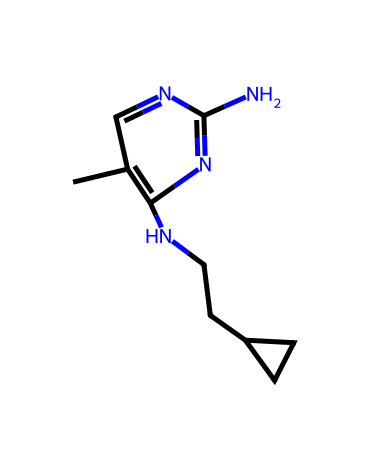 Cc1cnc(N)nc1NCCC1CC1